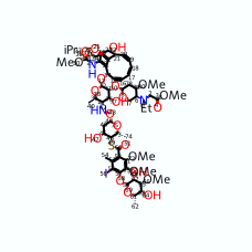 CCN(CC(=O)OC)[C@H]1CO[C@@H](O[C@H]2[C@H](O[C@H]3C#C/C=C\C#C[C@]4(O)CC(=O)C(NC(=O)OC)=C3/C4=C\CSSC(C)C)O[C@H](C)[C@@H](NO[C@H]3C[C@H](O)[C@H](SC(=O)c4c(C)c(I)c(O[C@@H]5O[C@@H](C)[C@H](O)[C@@H](OC)[C@H]5O)c(OC)c4OC)[C@@H](C)O3)[C@@H]2O)C[C@@H]1OC